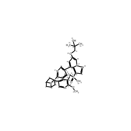 COc1ncc(CN2C3CC2CN(c2ccc(-c4cc(OCC(C)(C)O)cn5ncc(P(C)(C)=O)c45)cn2)C3)cc1F